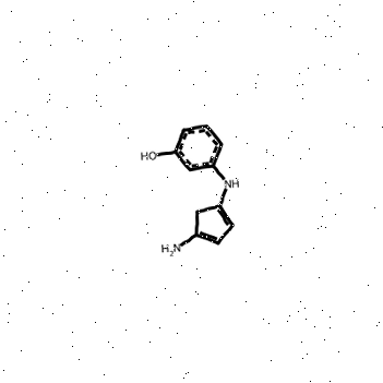 NC1=CC=C(Nc2cccc(O)c2)C1